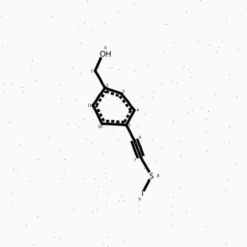 OCc1ccc(C#CSI)cc1